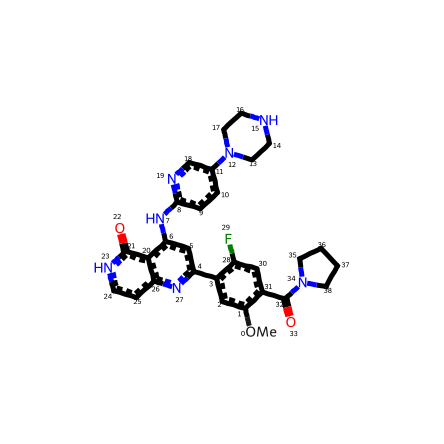 COc1cc(-c2cc(Nc3ccc(N4CCNCC4)cn3)c3c(=O)[nH]ccc3n2)c(F)cc1C(=O)N1CCCC1